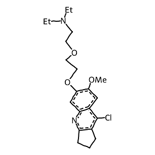 CCN(CC)CCOCCOc1cc2nc3c(c(Cl)c2cc1OC)CCC3